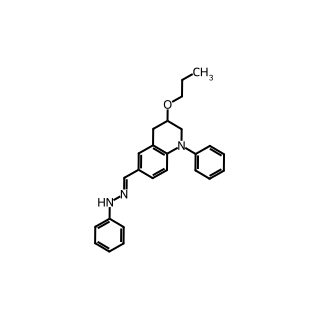 CCCOC1Cc2cc(/C=N/Nc3ccccc3)ccc2N(c2ccccc2)C1